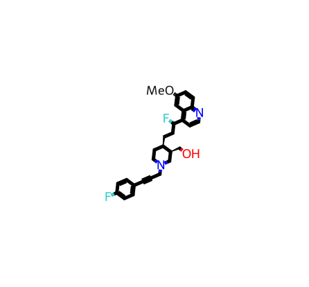 COc1ccc2nccc(C(F)CC[C@@H]3CCN(CC#Cc4ccc(F)cc4)C[C@@H]3CO)c2c1